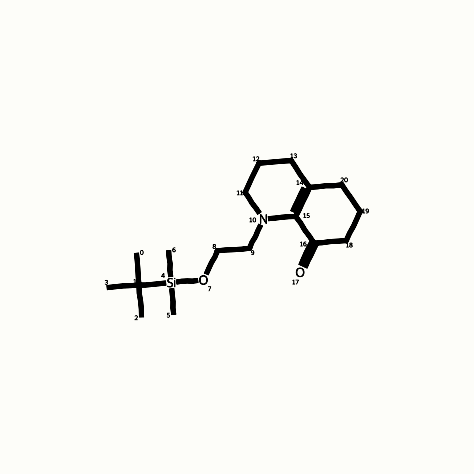 CC(C)(C)[Si](C)(C)OCCN1CCCC2=C1C(=O)CCC2